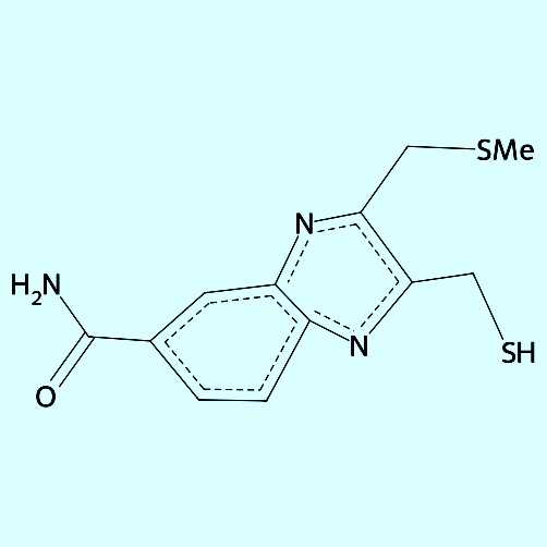 CSCc1nc2cc(C(N)=O)ccc2nc1CS